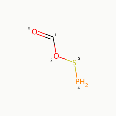 O=COSP